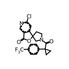 O=C1OC2(CCN(C(=O)C3(c4ccc(C(F)(F)F)cc4)CC3)C2)c2cc(Cl)ncc21